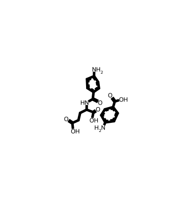 Nc1ccc(C(=O)NC(CCC(=O)O)C(=O)O)cc1.Nc1ccc(C(=O)O)cc1